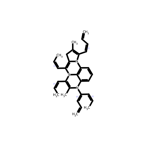 C=C/C=C\C1=C(C)CC2=C(/C=C\C)B3C(/C=C\C)=C(C)N(C(/C=C\C)=C/C=C)c4cccc(c43)N12